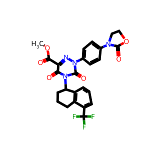 COC(=O)c1nn(-c2ccc(N3CCOC3=O)cc2)c(=O)n(C2CCCc3c2cccc3C(F)(F)F)c1=O